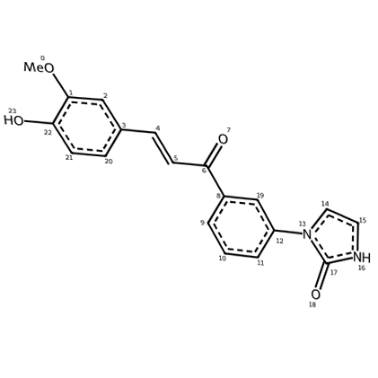 COc1cc(C=CC(=O)c2cccc(-n3cc[nH]c3=O)c2)ccc1O